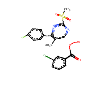 CS(=O)(=O)c1ncc(C(=O)O)c(-c2ccc(F)cc2)n1.O=C(OO)c1cccc(Cl)c1